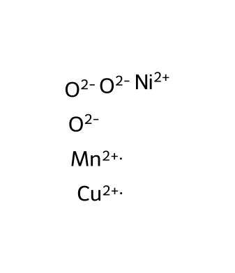 [Cu+2].[Mn+2].[Ni+2].[O-2].[O-2].[O-2]